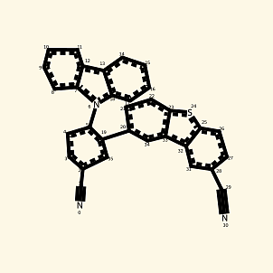 N#Cc1ccc(-n2c3ccccc3c3ccccc32)c(-c2ccc3sc4ccc(C#N)cc4c3c2)c1